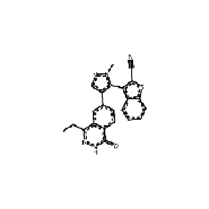 CCc1n[nH]c(=O)c2ccc(-c3cnn(C)c3-c3c(C#N)sc4ccccc34)cc12